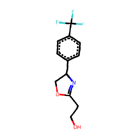 OCCC1=NC(c2ccc(C(F)(F)F)cc2)CO1